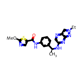 CCn1cc2ncc(N[C@@H](C)c3cccc(NC(=O)c4cnc(OC)s4)c3)nc2n1